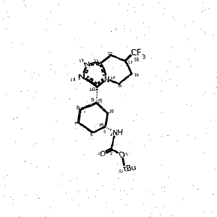 CC(C)(C)OC(=O)N[C@@H]1CCC[C@H](c2nnc3n2CCC(C(F)(F)F)C3)C1